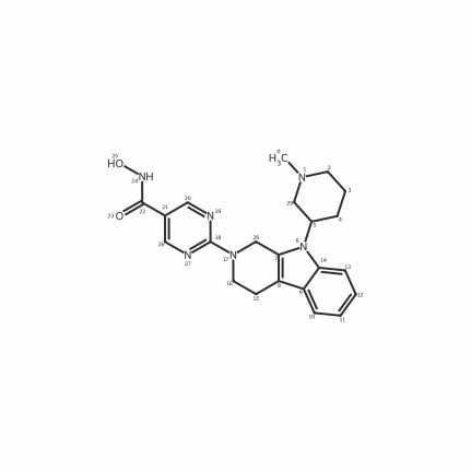 CN1CCCC(n2c3c(c4ccccc42)CCN(c2ncc(C(=O)NO)cn2)C3)C1